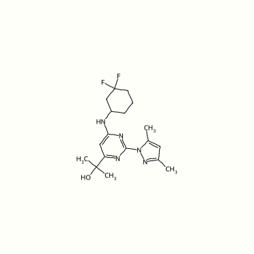 Cc1cc(C)n(-c2nc(NC3CCCC(F)(F)C3)cc(C(C)(C)O)n2)n1